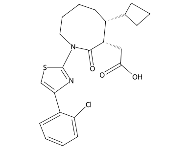 O=C(O)C[C@@H]1C(=O)N(c2nc(-c3ccccc3Cl)cs2)CCCC[C@@H]1C1CCC1